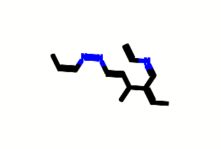 C=C/N=C\C(=C/C)C(C)/C=C/N=N\C=C/C